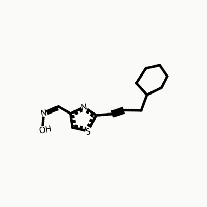 O/N=C\c1csc(C#CCC2CCCCC2)n1